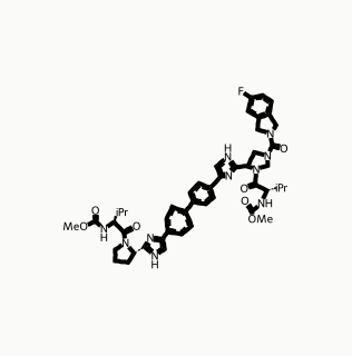 COC(=O)N[C@H](C(=O)N1CN(C(=O)N2Cc3ccc(F)cc3C2)CC1c1nc(-c2ccc(-c3ccc(-c4c[nH]c([C@@H]5CCCN5C(=O)[C@@H](NC(=O)OC)C(C)C)n4)cc3)cc2)c[nH]1)C(C)C